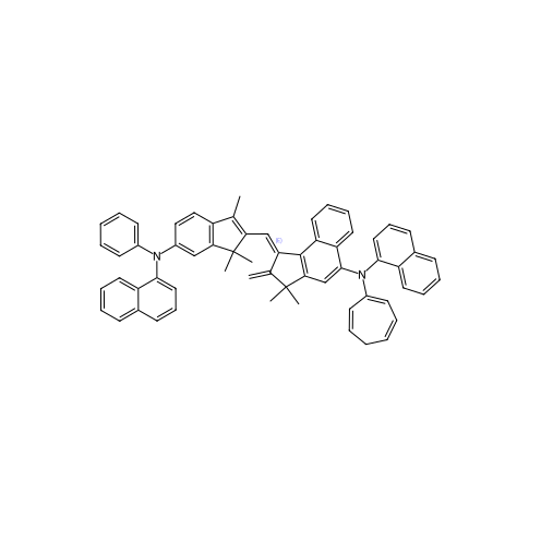 C=C1/C(=C\C2=C(C)c3ccc(N(c4ccccc4)c4cccc5ccccc45)cc3C2(C)C)c2c(cc(N(C3=CC=CCC=C3)c3cccc4ccccc34)c3ccccc23)C1(C)C